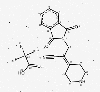 N#CC(CN1C(=O)c2ccccc2C1=O)=C1CCNCC1.O=C(O)C(F)(F)F